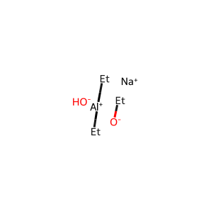 CC[O-].C[CH2][Al+][CH2]C.[Na+].[OH-]